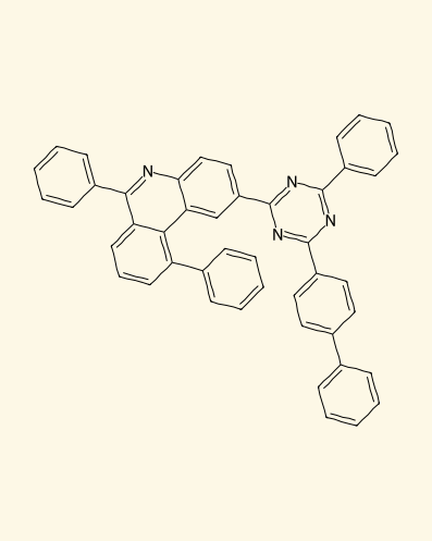 c1ccc(-c2ccc(-c3nc(-c4ccccc4)nc(-c4ccc5nc(-c6ccccc6)c6cccc(-c7ccccc7)c6c5c4)n3)cc2)cc1